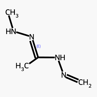 C=NN/C(C)=N/NC